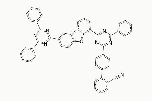 N#Cc1ccccc1-c1ccc(-c2nc(-c3ccccc3)nc(-c3cccc4c3oc3ccc(-c5nc(-c6ccccc6)nc(-c6ccccc6)n5)cc34)n2)cc1